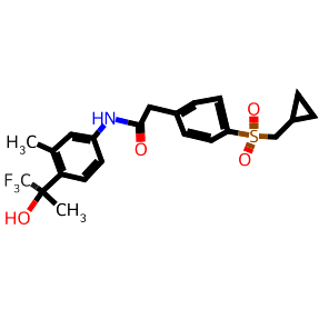 Cc1cc(NC(=O)Cc2ccc(S(=O)(=O)CC3CC3)cc2)ccc1C(C)(O)C(F)(F)F